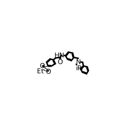 CCS(=O)(=O)c1ccc(CC(=O)Nc2ccc(CN(Cc3ccccc3)CC(C)C)cc2)cc1